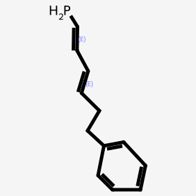 P/C=C/C=C/CCc1ccccc1